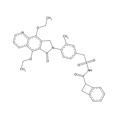 CCOc1c2c(c(OCC)c3ncccc13)CN(c1ccc(CS(=O)(=O)NC(=O)C3Cc4ccccc43)cc1C)C2=O